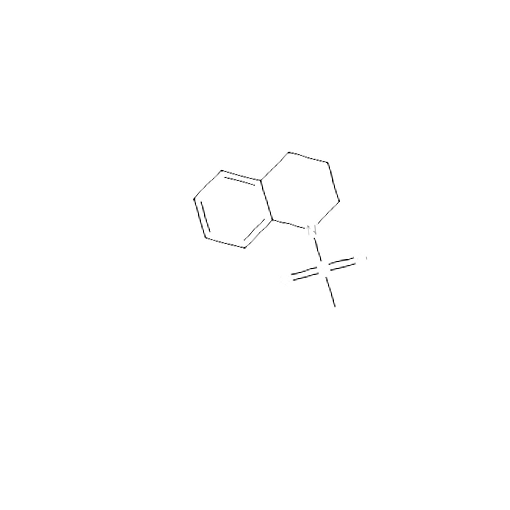 CS(=O)(=O)N1CCCc2ccccc21